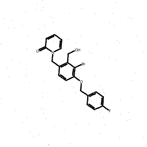 O=c1ccccn1Cc1ccc(OCc2ccc(F)cc2)c(Br)c1CO